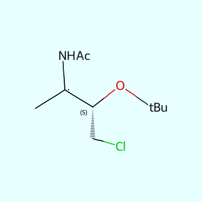 C[C](NC(C)=O)[C@@H](CCl)OC(C)(C)C